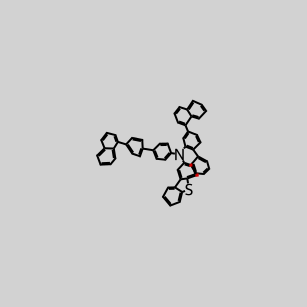 c1ccc(-c2ccc(-c3cccc4ccccc34)cc2N(c2ccc(-c3ccc(-c4cccc5ccccc45)cc3)cc2)c2ccc3sc4ccccc4c3c2)cc1